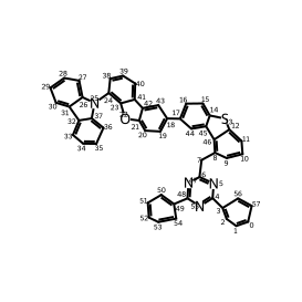 c1ccc(-c2nc(Cc3cccc4sc5ccc(-c6ccc7oc8c(-n9c%10ccccc%10c%10ccccc%109)cccc8c7c6)cc5c34)nc(-c3ccccc3)n2)cc1